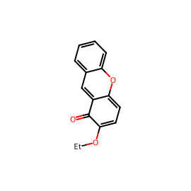 CCOc1ccc2oc3ccccc3cc-2c1=O